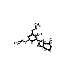 C=CCc1cc(CC=C)c(O)c(-n2nc3cccc(Cl)c3n2)c1